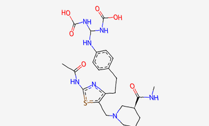 CNC(=O)[C@H]1CCCN(Cc2sc(NC(C)=O)nc2CCc2ccc(NC(NC(=O)O)NC(=O)O)cc2)C1